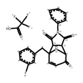 O=C(O)C(F)(F)F.O=C1C=CC2(Cc3cccc(F)c3)NC1C1C(=O)N(c3ccccc3)C(=O)C12